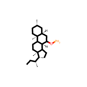 CC[C@@H](C)[C@H]1CCC2[C@@H]3C(OP)C[C@@H]4C[C@@H](C)CC[C@]4(C)C3CC[C@@]21C